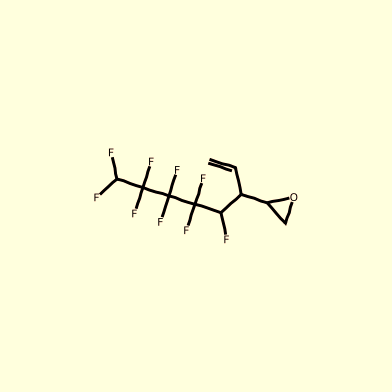 C=CC(C1CO1)C(F)C(F)(F)C(F)(F)C(F)(F)C(F)F